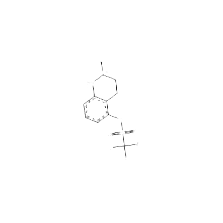 C[C@H]1CCc2c(cccc2OS(=O)(=O)C(F)(F)F)N1